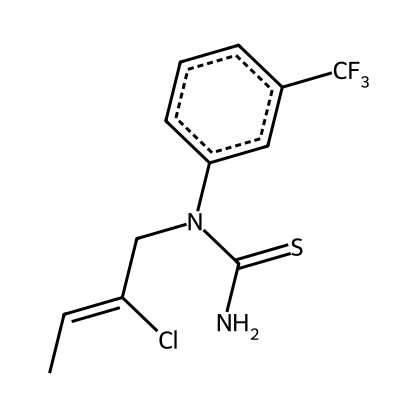 CC=C(Cl)CN(C(N)=S)c1cccc(C(F)(F)F)c1